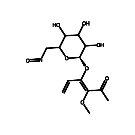 C=C/C(O[C@H]1OC(CN=O)C(O)C(O)C1O)=C(\OC)C(C)=O